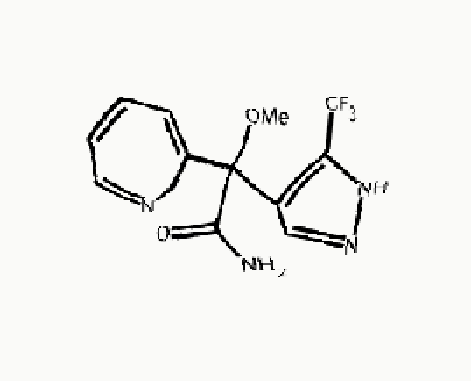 COC(C(N)=O)(c1ccccn1)c1cn[nH]c1C(F)(F)F